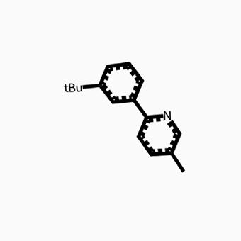 Cc1ccc(-c2cccc(C(C)(C)C)c2)nc1